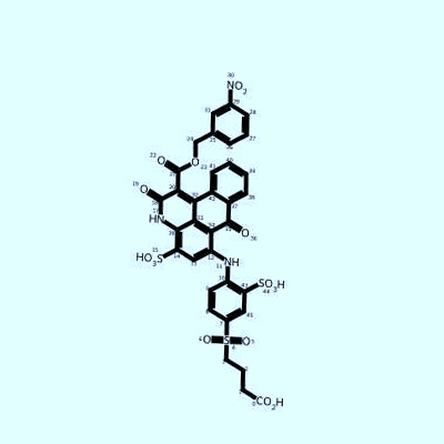 O=C(O)CCCS(=O)(=O)c1ccc(Nc2cc(S(=O)(=O)O)c3[nH]c(=O)c(C(=O)OCc4cccc([N+](=O)[O-])c4)c4c3c2C(=O)c2ccccc2-4)c(S(=O)(=O)O)c1